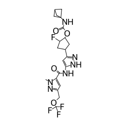 Cn1nc(COC(F)(F)F)cc1C(=O)Nc1cc(C2CC(F)C(OC(=O)NC34CC(C3)C4)C2)n[nH]1